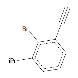 C#Cc1cccc([C](C)C)c1Br